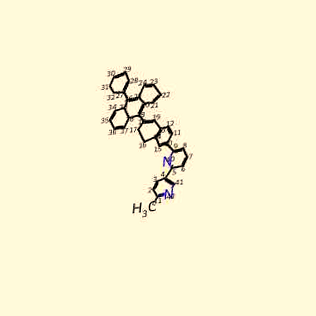 Cc1ccc(-c2cccc(-c3ccc4c(c3)CCC(C3=c5ccccc5=C(C5=CC=CCC5)C5C=CC=CC35)=C4)n2)cn1